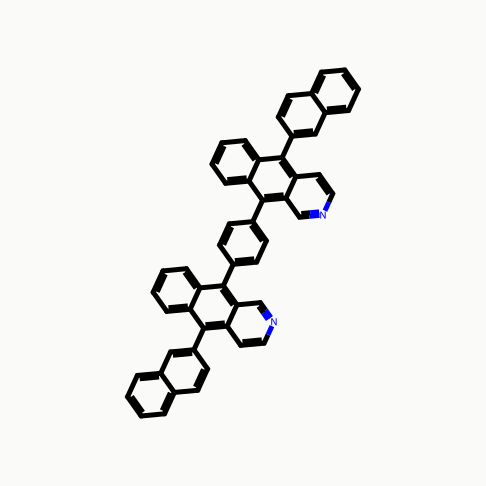 c1ccc2cc(-c3c4ccccc4c(-c4ccc(-c5c6ccccc6c(-c6ccc7ccccc7c6)c6ccncc56)cc4)c4cnccc34)ccc2c1